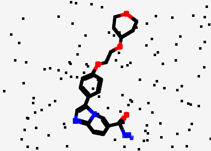 NC(=O)c1ccc2ncc(-c3ccc(OCCOC4CCOCC4)cc3)n2c1